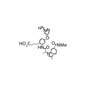 CCCn1cc(Oc2ccc(CCCC(=O)O)c(NC(=O)C(C)n3cc(C)c4ccc(C(=O)NC)cc43)c2)cn1